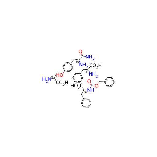 C[C@H](N)C(=O)O.NC(=O)[C@@H](N)Cc1ccc(O)cc1.N[C@@H](Cc1ccccc1)C(=O)O.O=C(N[C@@H](Cc1ccccc1)C(=O)O)OCc1ccccc1